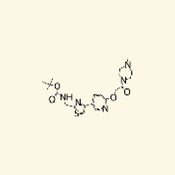 CN1CCN(C(=O)COc2ccc(-c3csc(CNC(=O)OC(C)(C)C)n3)cn2)CC1